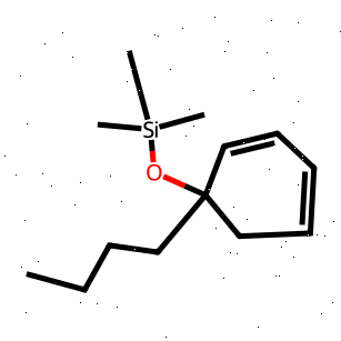 CCCCC1(O[Si](C)(C)C)C=CC=CC1